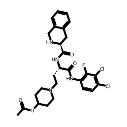 CC(=O)OC1CCN(CC[C@H](NC(=O)[C@@H]2Cc3ccccc3CN2)C(=O)Nc2ccc(Cl)c(Cl)c2F)CC1